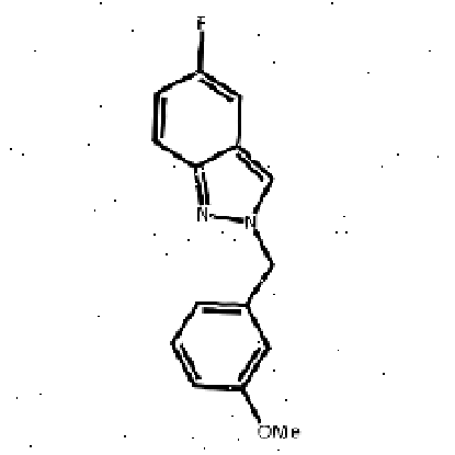 COc1cccc(Cn2cc3cc(F)ccc3n2)c1